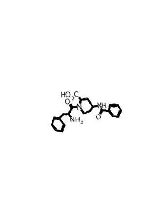 NC(Cc1ccccc1)C(=O)N1CCC(NC(=O)c2ccccc2)CC1C(=O)O